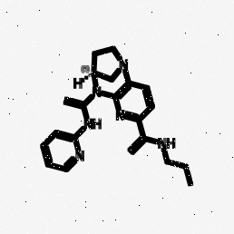 C=C(NCCC)c1ccc2c(n1)N(C(=C)Nc1ccccn1)[C@H]1CCN2C1